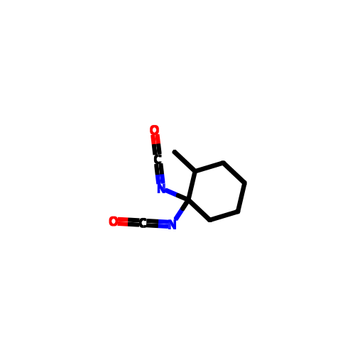 CC1CCCCC1(N=C=O)N=C=O